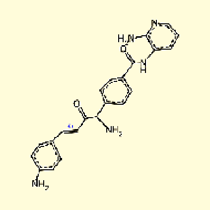 Nc1ccc(/C=C/C(=O)C(N)c2ccc(C(=O)Nc3cccnc3N)cc2)cc1